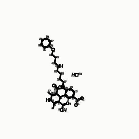 CC1=C(C(=O)O)C(c2cc([N+](=O)[O-])ccc2OCCCCNCCCOc2ccccc2)C(C(=O)O)=C(C)N1.Cl